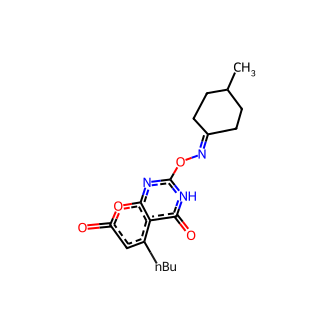 CCCCc1cc(=O)oc2nc(ON=C3CCC(C)CC3)[nH]c(=O)c12